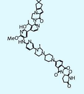 COc1ncc(-c2ccnc(N3CCn4c(cc5c4CC(C)(C)C5)C3=O)c2C(C)O)cc1Nc1ccc(N2CCN(C3CCN(c4ccc5c(c4)C(=O)N([C@H]4CCC(=O)NC4=O)C5=O)CC3)C[C@@H]2C)cn1